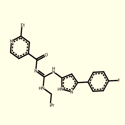 CCc1cc(C(=O)/N=C(/NCC(C)C)Nc2cc(-c3ccc(F)cc3)n[nH]2)ccn1